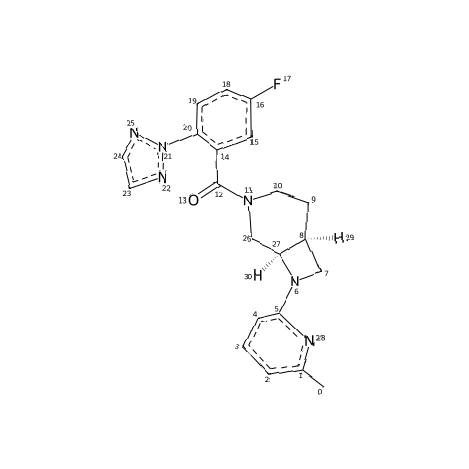 Cc1cccc(N2C[C@@H]3CCN(C(=O)c4cc(F)ccc4-n4nccn4)C[C@@H]32)n1